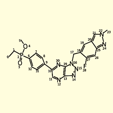 CCP(=O)(OC)c1ccc(-c2cnc3nnn(Cc4cc5cn(C)nc5cc4F)c3n2)cc1